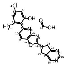 Cc1cc(Cl)cc(O)c1-c1ccc2oc(N3Cc4cncnc4C3)nc2n1.O=CO